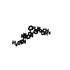 Cn1cnc(-c2nnc3c4cc(-c5ccccc5)c(-c5ccc(C6(N)CC(C)(O)C6)cc5)nc4ccn23)c1